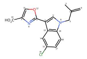 C=C(C)Cn1cc(-c2nc(C(=O)O)co2)c2cc(Cl)ccc21